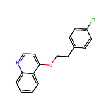 Clc1ccc(CCOc2ccnc3ccccc23)cc1